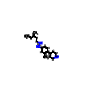 C=CC(C)CCNNc1ccc(C2=CCNCC2)c(C)c1